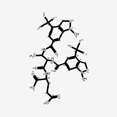 CC(NC(=O)c1cc2c(c(C(F)(F)F)c1)COB2O)C(NC(=O)c1cc2c(c(C(F)(F)F)c1)COB2O)C(=O)NC(CCC(=O)O)C(=O)O